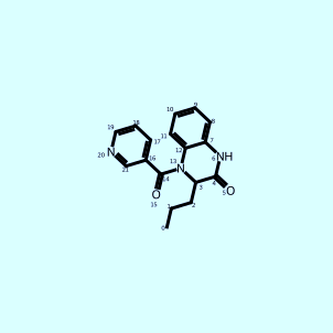 CCCC1C(=O)Nc2ccccc2N1C(=O)c1cccnc1